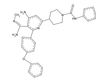 C/N=C(/N)c1c(N)cc(C2CCN(C(=O)Nc3ccccc3)CC2)nc1-c1ccc(Oc2ccccc2)cc1